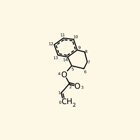 C=CC(=O)OC1CCCc2ccccc21